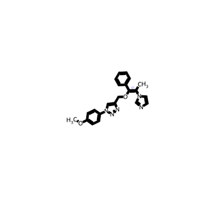 COc1ccc(-n2cc(CO/C(=C(/C)n3ccnc3)c3ccccc3)nn2)cc1